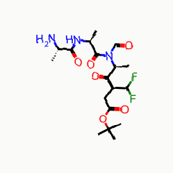 C[C@H](N)C(=O)N[C@@H](C)C(=O)N(C=O)[C@@H](C)C(=O)C(CC(=O)OC(C)(C)C)C(F)F